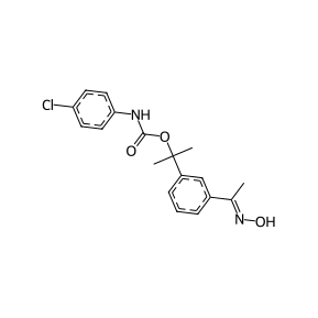 C/C(=N\O)c1cccc(C(C)(C)OC(=O)Nc2ccc(Cl)cc2)c1